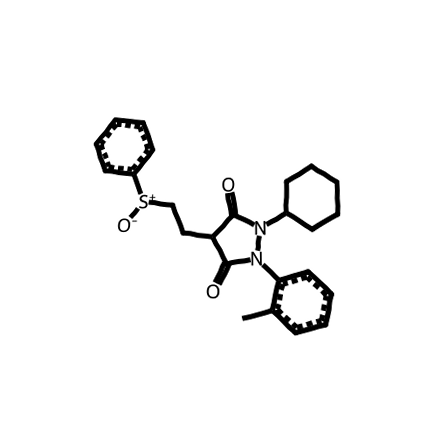 Cc1ccccc1N1C(=O)C(CC[S+]([O-])c2ccccc2)C(=O)N1C1CCCCC1